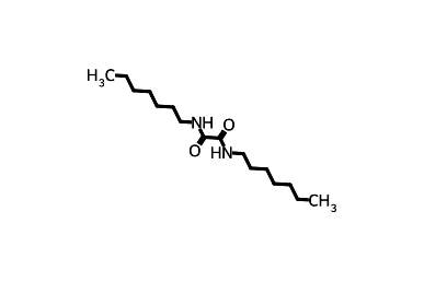 CCCCCCCNC(=O)C(=O)NCCCCCCC